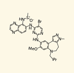 COc1cc2c(cc1Nc1ncc(Br)c(Nc3ccc4nccnc4c3N[S+](C)[O-])n1)-c1cnn(C)c1CCN2CC(C)C